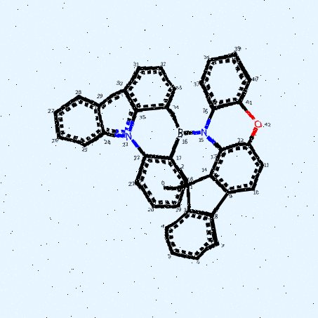 CC1(C)c2ccccc2-c2ccc3c(c21)N(B1c2ccccc2-n2c4ccccc4c4cccc1c42)c1ccccc1O3